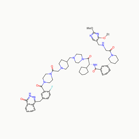 CCOc1nc(OC)ncc1CNCC(=O)N1CCC[C@H](c2cccc(C(=O)N[C@@H](C(=O)N3CCN(CC4CCN(CC(=O)N5CCN(C(=O)c6cc(Cc7n[nH]c(=O)c8ccccc78)ccc6F)CC5)CC4)CC3)C3CCCCC3)c2)C1